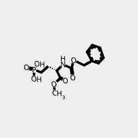 COC(=O)[C@H](CCP(=O)(O)O)NC(=O)OCc1ccccc1